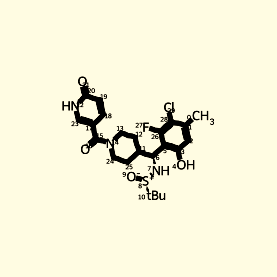 Cc1cc(O)c([C@H](N[S@@+]([O-])C(C)(C)C)C2CCN(C(=O)c3ccc(=O)[nH]c3)CC2)c(F)c1Cl